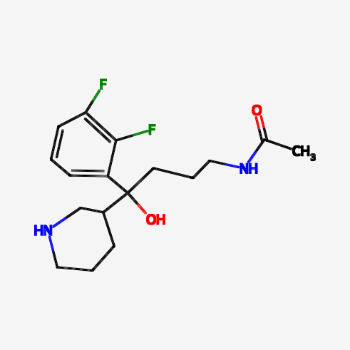 CC(=O)NCCCC(O)(c1cccc(F)c1F)C1CCCNC1